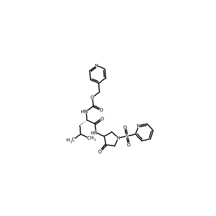 CC(C)C[C@H](NC(=O)OCc1ccncc1)C(=O)NC1CN(S(=O)(=O)c2ccccn2)CC1=O